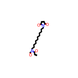 C=CC(=O)N(C=O)CCCCCCCCCCCCN1C(=O)C=CC1=O